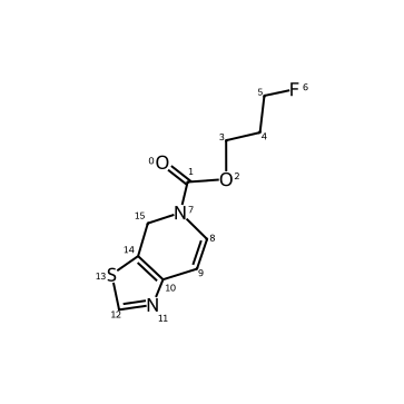 O=C(OCCCF)N1C=Cc2ncsc2C1